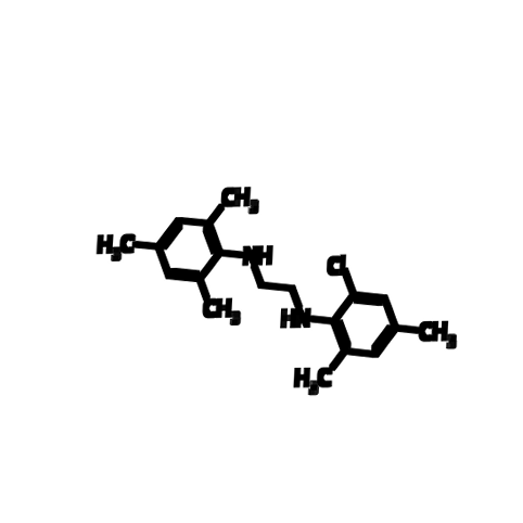 Cc1cc(C)c(NCCNc2c(C)cc(C)cc2Cl)c(C)c1